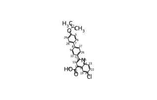 CC(C)Oc1ccc(-c2ccc(-c3cc(C(=O)O)c4cc(Cl)ccc4n3)cc2)cc1